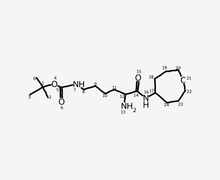 CC(C)(C)OC(=O)NCCCCC(N)C(=O)NC1CCCCCCC1